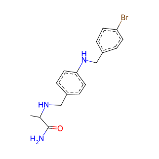 CC(NCc1ccc(NCc2ccc(Br)cc2)cc1)C(N)=O